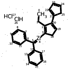 CCC1=[C]([Zr]=[C](c2ccccc2)c2ccccc2)CC=C1C1=CC=CC1.Cl.Cl